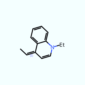 C/C=C1/C=CN(CC)c2ccccc21